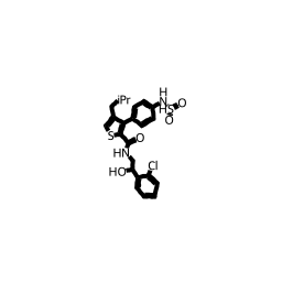 CC(C)Cc1csc(C(=O)NCC(O)c2ccccc2Cl)c1-c1ccc(N[SH](=O)=O)cc1